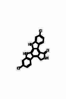 O=C1NCc2c1c1c3ccc(Cl)cc3[nH]c1c1[nH]c3cc(Cl)ccc3c21